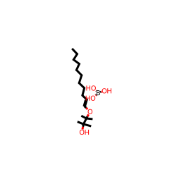 CCCCCCCCCC=COC(C)(C)C(C)(C)O.OB(O)O